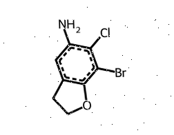 Nc1cc2c(c(Br)c1Cl)OCC2